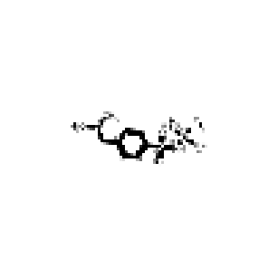 CN(C)Cc1ccc(S(=O)(=O)N[Si](C)(C)C(C)(C)C)cc1